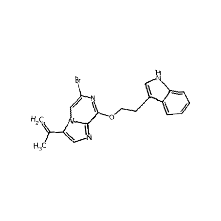 C=C(C)c1cnc2c(OCCc3c[nH]c4ccccc34)nc(Br)cn12